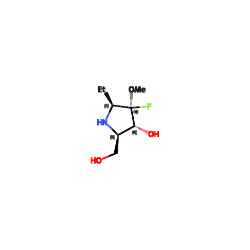 CC[C@@H]1N[C@H](CO)[C@@H](O)[C@@]1(F)OC